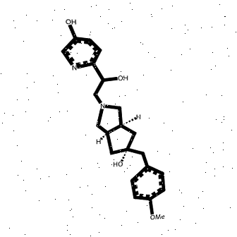 COc1ccc(C[C@@]2(O)C[C@H]3CN(CC(O)c4ccc(O)cn4)C[C@H]3C2)cc1